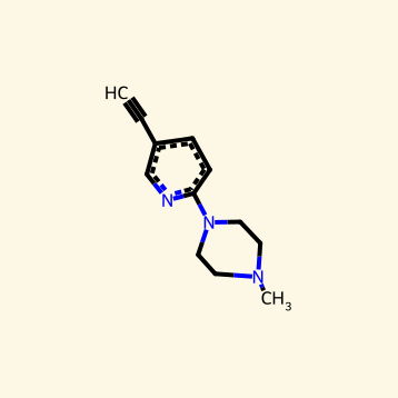 C#Cc1ccc(N2CCN(C)CC2)nc1